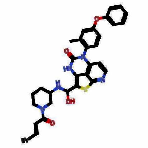 Cc1cc(Oc2ccccc2)ccc1N1C(=O)Nc2c(C(O)N[C@@H]3CCCN(C(=O)/C=C/C(C)C)C3)sc3nccc1c23